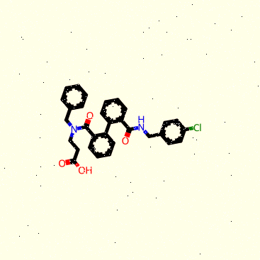 O=C(O)CCN(Cc1ccccc1)C(=O)c1ccccc1-c1ccccc1C(=O)NCc1ccc(Cl)cc1